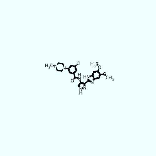 COc1cc2nc(-c3n[nH]cc3NC(=O)c3cc(Cl)cc(N4CCN(C)CC4)c3)[nH]c2cc1OC